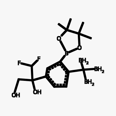 BC(B)(B)c1ccc(C(O)(CO)C(F)F)cc1B1OC(C)(C)C(C)(C)O1